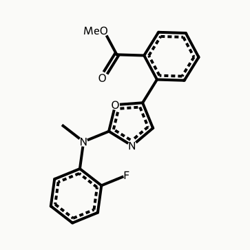 COC(=O)c1ccccc1-c1cnc(N(C)c2ccccc2F)o1